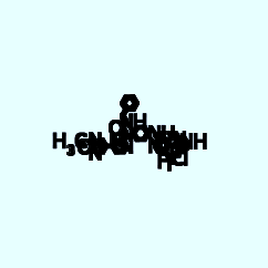 COc1ncc(-c2ccnc(N(C(=O)NCc3ccccc3)[C@H]3CC[C@H](Nc4ncc(C(F)(F)F)c(-c5n[nH]cc5Cl)n4)CC3)n2)cn1